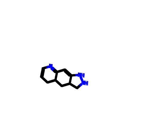 C1=CN=C2C=C3NNCC3CC2C1